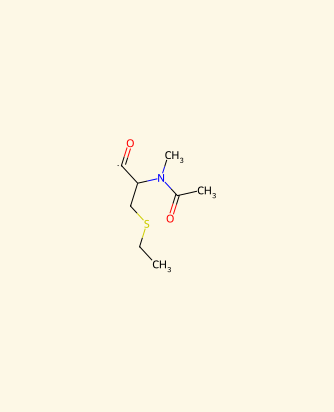 CCSCC([C]=O)N(C)C(C)=O